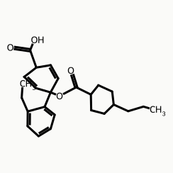 CCCC1CCC(C(=O)OC2(c3ccccc3CC)C=CC(C(=O)O)C=C2)CC1